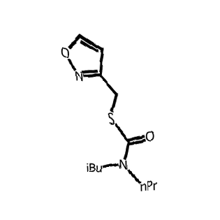 CCCN(C(=O)SCc1ccon1)C(C)CC